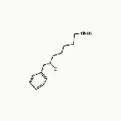 CCCCCCCCCCCCCCP(Cl)Cc1ccccc1